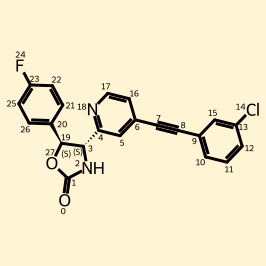 O=C1N[C@@H](c2cc(C#Cc3cccc(Cl)c3)ccn2)[C@H](c2ccc(F)cc2)O1